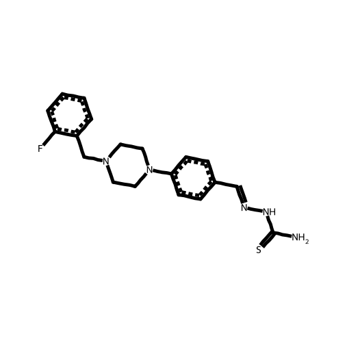 NC(=S)N/N=C/c1ccc(N2CCN(Cc3ccccc3F)CC2)cc1